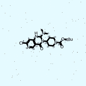 CN(C)C1Nc2cc(Cl)ncc2C(=O)N1C1CCN(C(=O)OC(C)(C)C)CC1